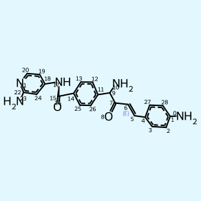 Nc1ccc(/C=C/C(=O)C(N)c2ccc(C(=O)Nc3ccnc(N)c3)cc2)cc1